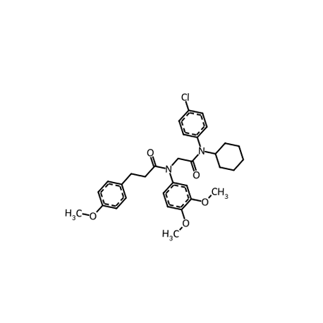 COc1ccc(CCC(=O)N(CC(=O)N(c2ccc(Cl)cc2)C2CCCCC2)c2ccc(OC)c(OC)c2)cc1